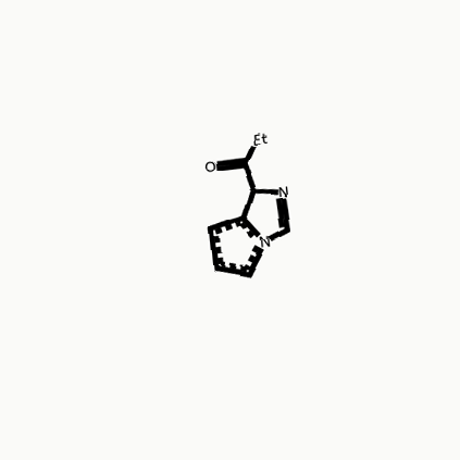 CCC(=O)C1N=Cn2cccc21